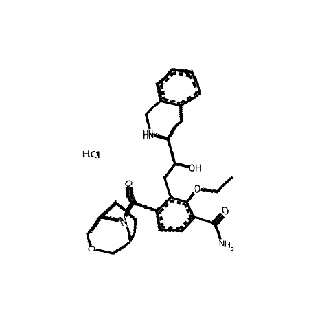 CCOc1c(C(N)=O)ccc(C(=O)N2C3CCC2COC3)c1CC(O)C1Cc2ccccc2CN1.Cl